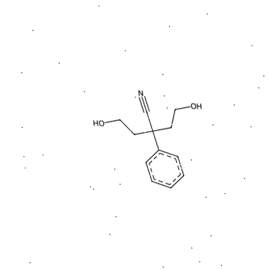 N#CC(CCO)(CCO)c1ccccc1